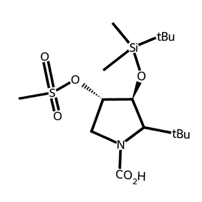 CC(C)(C)C1[C@H](O[Si](C)(C)C(C)(C)C)[C@@H](OS(C)(=O)=O)CN1C(=O)O